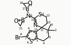 CC1(C)CCc2sc(Br)cc2C12CCSC(N(B1CO1)B1CO1)=N2